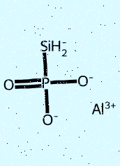 O=P([O-])([O-])[SiH2-].[Al+3]